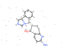 Nc1ccc2c(n1)CCC([C@H]1c3ccccc3-c3cncn31)C2O